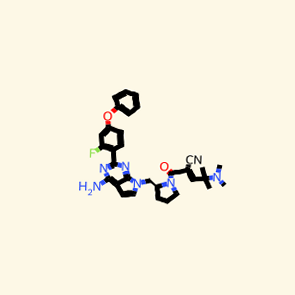 CN(C)C(C)(C)C=C(C#N)C(=O)N1CCC[C@H]1Cn1ccc2c(N)nc(-c3ccc(Oc4ccccc4)cc3F)nc21